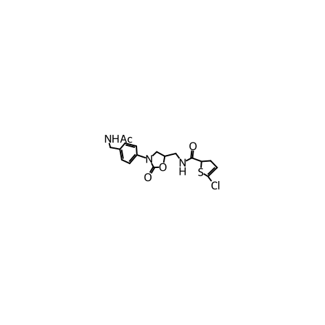 CC(=O)NCc1ccc(N2CC(CNC(=O)C3CC=C(Cl)S3)OC2=O)cc1